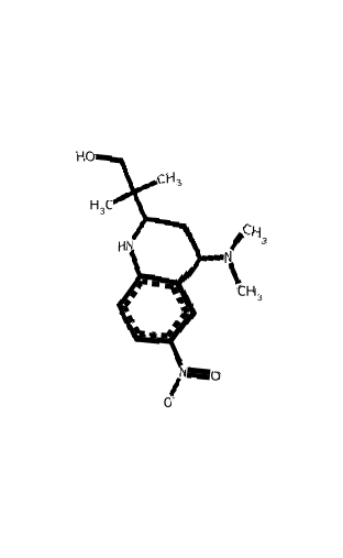 CN(C)C1CC(C(C)(C)CO)Nc2ccc([N+](=O)[O-])cc21